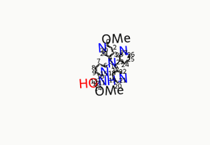 COc1ccc(N(c2cccc(NC(O)OC)n2)C(c2cccnc2)c2cccnc2)cn1